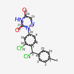 Cc1ccc(C(Cl)c2ccc(-n3ncc(=O)[nH]c3=O)cc2Cl)cc1